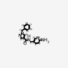 Nc1ccc(CNC(=O)c2cnn(Cc3ccccc3)c2)cn1